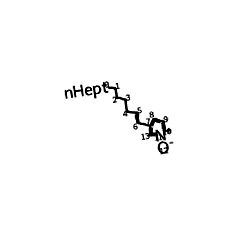 CCCCCCCCCCC/C=C/c1ccc[n+]([O-])c1